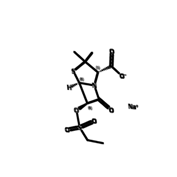 CCS(=O)(=O)O[C@@H]1C(=O)N2[C@@H]1SC(C)(C)[C@@H]2C(=O)[O-].[Na+]